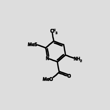 COC(=O)c1nc(SC)c(C(F)(F)F)cc1N